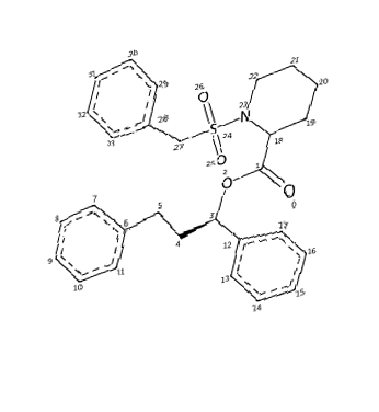 O=C(O[C@H](CCc1ccccc1)c1ccccc1)C1CCCCN1S(=O)(=O)Cc1ccccc1